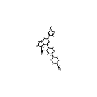 Cn1cc(-c2cc(-c3ccc(N4CCN(C#N)CC4)nc3)c3c(C#N)cnn3c2)cn1